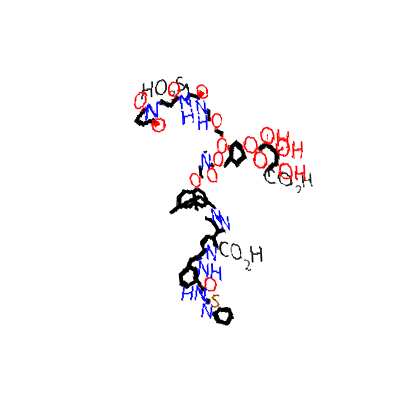 Cc1c(-c2ccc(-c3cc4cccc(C(=O)Nc5nc6ccccc6s5)c4[nH]3)nc2C(=O)O)cnn1CC12CC(OCCN(C)C(=O)OCc3ccc(O[C@@H]4O[C@H](C(=O)O)[C@@H](O)[C@H](O)[C@H]4O)cc3OCCOCCNC(=O)[C@H](CS(=O)(=O)O)NC(=O)CCN3C(=O)C=CC3=O)C3CCC(C)(C1)CC3(C)C2